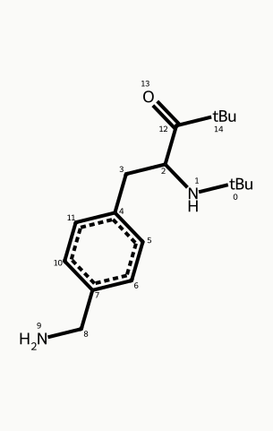 CC(C)(C)NC(Cc1ccc(CN)cc1)C(=O)C(C)(C)C